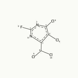 Fc1nc(Cl)c(Cl)c(C(Cl)Cl)n1